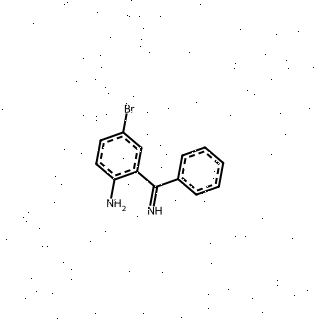 N=C(c1ccccc1)c1cc(Br)ccc1N